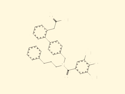 Cc1cc(C(=O)N(CCCc2ccccc2)Cc2ccc(-c3ccccc3CC(=O)O)cc2)cc(C)c1O